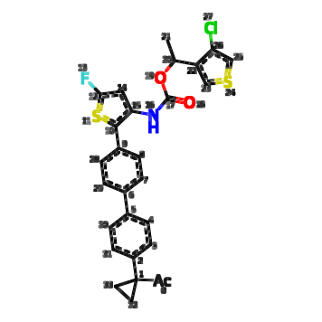 CC(=O)C1(c2ccc(-c3ccc(-c4sc(F)cc4NC(=O)OC(C)c4cscc4Cl)cc3)cc2)CC1